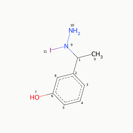 CC(c1cccc(O)c1)N(N)I